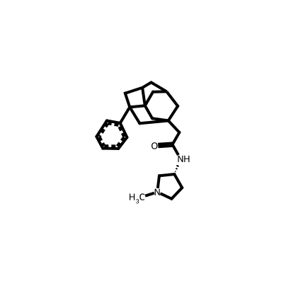 CN1CC[C@@H](NC(=O)CC23CC4CC5CC(c6ccccc6)(C2)C5(C4)C3)C1